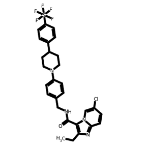 CCc1nc2ccc(Cl)cn2c1C(=O)NCc1ccc(N2CCC(c3ccc(S(F)(F)(F)(F)F)cc3)CC2)cc1